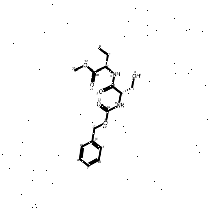 CC[C@@H](NC(=O)[C@H](CO)NC(=O)OCc1ccccc1)C(=O)OC